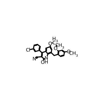 COc1ccc(Cc2cc(OC)cc3c(-c4cccc(Cl)c4)c(C#N)c(=O)[nH]c23)c(OC)c1